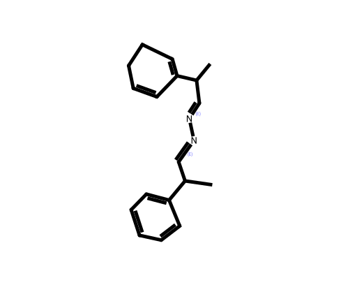 CC(/C=N/N=C/C(C)c1ccccc1)C1=CCCC=C1